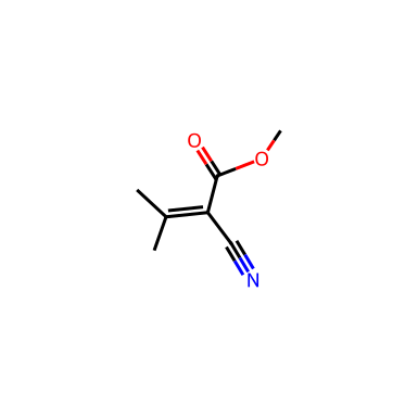 COC(=O)C(C#N)=C(C)C